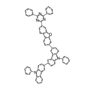 c1ccc(-c2nc(-c3ccccc3)nc(-c3ccc4c(c3)oc3cc(-c5ccc6c(c5)c5cc(-c7ccc8c(c7)c7ccccc7n8-c7ccccc7)ccc5n6-c5ccccc5)ccc34)n2)cc1